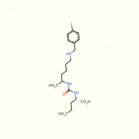 O=C(O)CC[C@H](NC(=O)NC(CCCCNCc1ccc(I)cc1)C(=O)O)C(=O)O